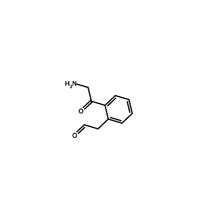 NCC(=O)c1ccccc1CC=O